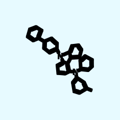 Cc1cccc(N(c2ccccc2)c2cccc3c2c2ccccc2n3-c2ccc(-c3ccccc3)cc2)c1